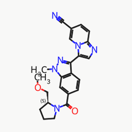 COC[C@@H]1CCCN1C(=O)c1ccc2c(-c3cnc4ccc(C#N)cn34)nn(C)c2c1